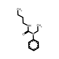 CCCCNC(=O)N(CC)c1ccccc1